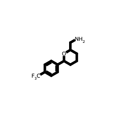 NCC1CCCC(c2ccc(C(F)(F)F)cc2)O1